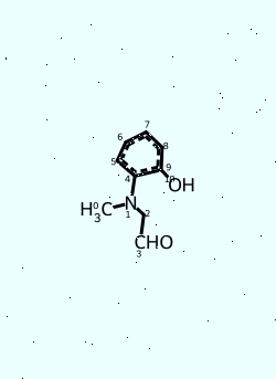 CN(CC=O)c1ccccc1O